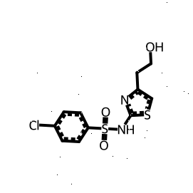 O=S(=O)(Nc1nc(CCO)cs1)c1ccc(Cl)cc1